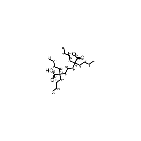 CCCCC(CCCC)(CCCC(CCCC)(CCCC)C(=O)O)C(=O)O